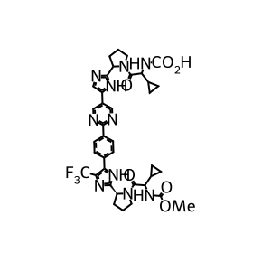 COC(=O)NC(C(=O)N1CCC[C@H]1c1nc(C(F)(F)F)c(-c2ccc(-c3ncc(-c4cnc(C5CCCN5C(=O)C(NC(=O)O)C5CC5)[nH]4)cn3)cc2)[nH]1)C1CC1